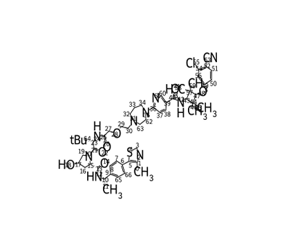 Cc1ncsc1-c1ccc([C@H](C)NC(=O)[C@@H]2C[C@@H](O)CN2C(=O)[C@@H](NC(=O)COCCN2CCCN(c3ccc(C(=O)N[C@H]4C(C)(C)[C@H](Oc5ccc(C#N)c(Cl)c5)C4(C)C)cn3)CC2)C(C)(C)C)cc1